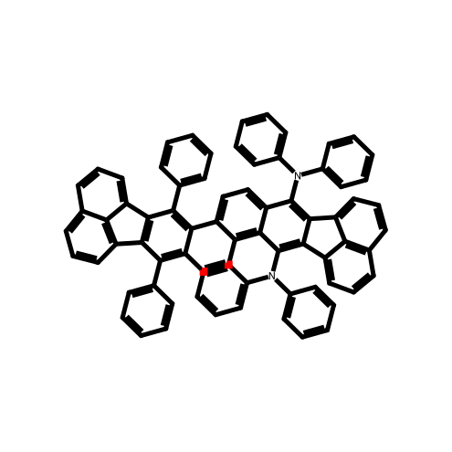 c1ccc(-c2c3c(c(-c4ccccc4)c4c2ccc2c4ccc4c(N(c5ccccc5)c5ccccc5)c5c(c(N(c6ccccc6)c6ccccc6)c42)-c2cccc4cccc-5c24)-c2cccc4cccc-3c24)cc1